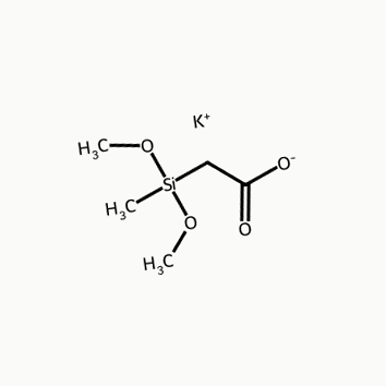 CO[Si](C)(CC(=O)[O-])OC.[K+]